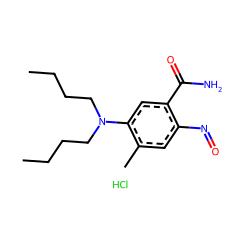 CCCCN(CCCC)c1cc(C(N)=O)c(N=O)cc1C.Cl